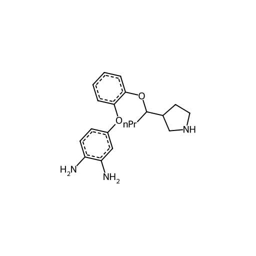 CCCC(Oc1ccccc1Oc1ccc(N)c(N)c1)C1CCNC1